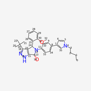 CCCCn1ccc(-c2ccc(N3C(=O)c4[nH]nc(C(C)(C)C)c4C3c3ccccc3OC)cc2)c1